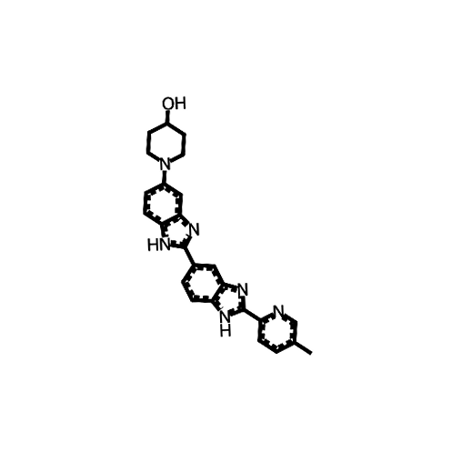 Cc1ccc(-c2nc3cc(-c4nc5cc(N6CCC(O)CC6)ccc5[nH]4)ccc3[nH]2)nc1